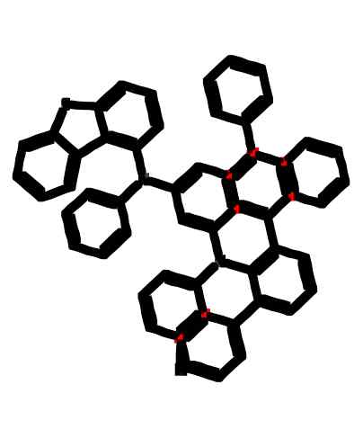 Brc1cccc(N(c2cc(N(c3ccccc3)c3ccccc3)cc(N(c3ccccc3)c3cccc4sc5ccccc5c34)c2)c2c(-c3ccccc3)cccc2-c2ccccc2)c1